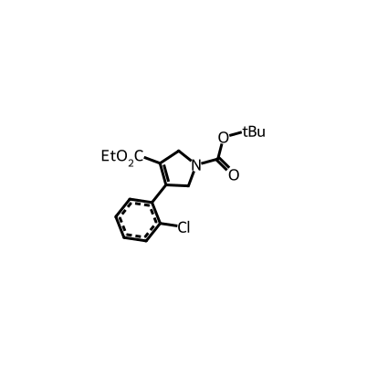 CCOC(=O)C1=C(c2ccccc2Cl)CN(C(=O)OC(C)(C)C)C1